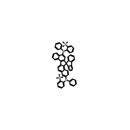 C[Si](C)(C)c1ccccc1N(c1ccccc1)c1ccc2c3c(ccc2c1)-c1c(cc(N(c2ccccc2)c2ccccc2[Si](C)(C)C)c2ccccc12)C31c2ccccc2-c2ccccc21